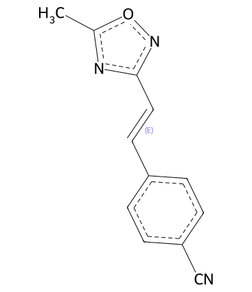 Cc1nc(/C=C/c2ccc(C#N)cc2)no1